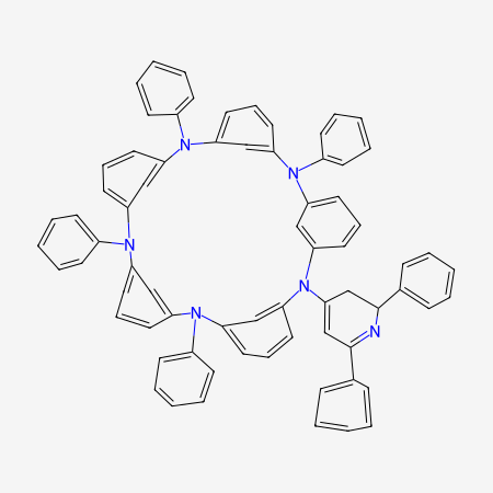 C1=C(N2c3cccc(c3)N(c3ccccc3)c3cccc(c3)N(c3ccccc3)c3cccc(c3)N(c3ccccc3)c3cccc(c3)N(c3ccccc3)c3cccc2c3)CC(c2ccccc2)N=C1c1ccccc1